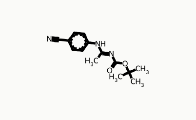 C/C(=N\C(=O)OC(C)(C)C)Nc1ccc(C#N)cc1